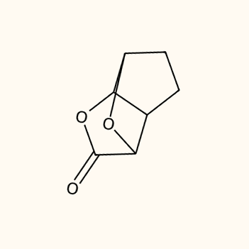 O=C1OC2C3CCC2C1O3